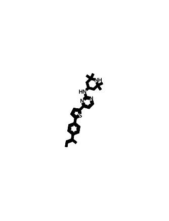 C/C=C(\C)c1ccc(-c2ccc(-c3ccnc(NC4CC(C)(C)NC(C)(C)C4)n3)s2)cc1